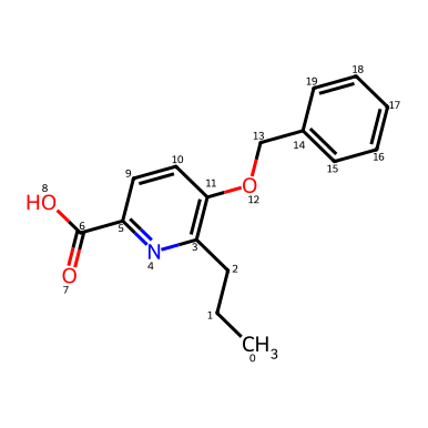 CCCc1nc(C(=O)O)ccc1OCc1ccccc1